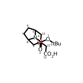 CC(C)(C)OC(=O)N1C2CCC1CN(CC(=O)O)C2